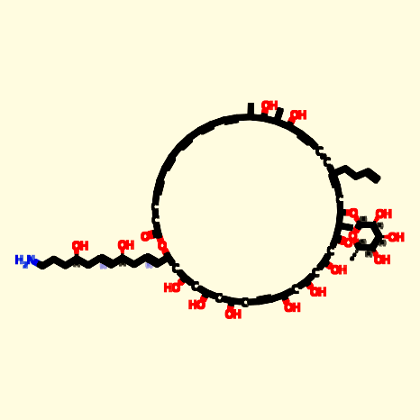 C=CCCC1=CCC(O[C@@H]2O[C@@H](C)[C@H](O)[C@@H](O)[C@H]2O)C(C)C(=O)CC(O)CC(O)CC(O)C=CCC(O)CC(O)CC(O)CC(/C=C/C[C@@H](O)/C=C/C[C@H](O)CCCN)OC(=O)CCC=CC=CC=CC=CC=CC(C)C(O)C(C)C(O)C=CCC1